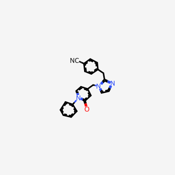 N#Cc1ccc(Cc2nccn2Cc2ccn(-c3ccccc3)c(=O)c2)cc1